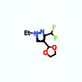 CCn1cc(C2OCCO2)c(C(F)F)n1